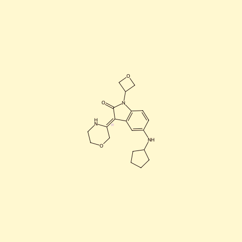 O=C1/C(=C2/COCCN2)c2cc(NC3CCCC3)ccc2N1C1COC1